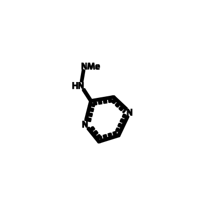 CNNc1cnccn1